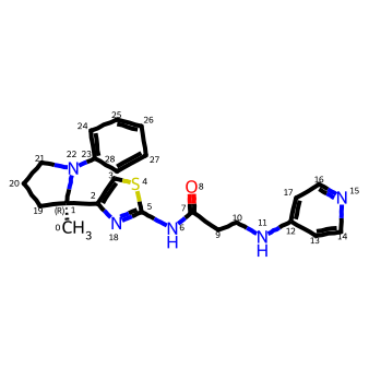 C[C@]1(c2csc(NC(=O)CCNc3ccncc3)n2)CCCN1c1ccccc1